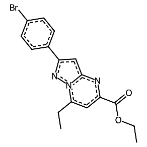 CCOC(=O)c1cc(CC)n2nc(-c3ccc(Br)cc3)cc2n1